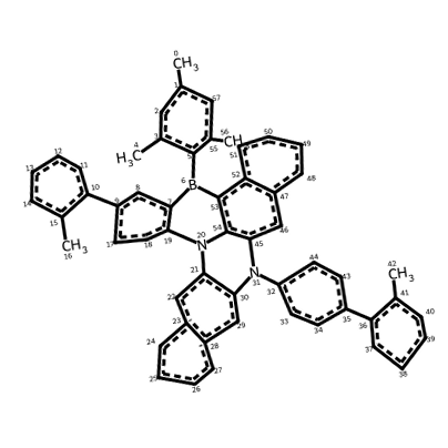 Cc1cc(C)c(B2c3cc(-c4ccccc4C)ccc3N3c4cc5ccccc5cc4N(c4ccc(-c5ccccc5C)cc4)c4cc5ccccc5c2c43)c(C)c1